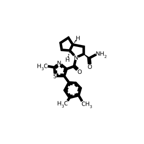 Cc1nc(C(=O)N2[C@H](C(N)=O)C[C@@H]3CCC[C@@H]32)c(-c2ccc(C)c(C)c2)s1